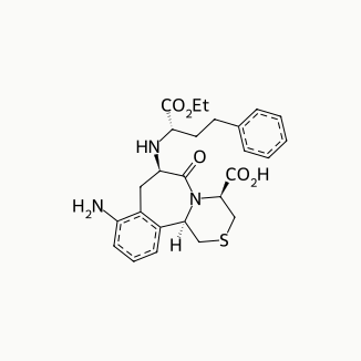 CCOC(=O)[C@H](CCc1ccccc1)N[C@@H]1Cc2c(N)cccc2[C@@H]2CSC[C@H](C(=O)O)N2C1=O